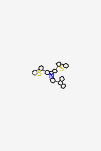 C1=CC2Sc3c(-c4ccc5c(c4)c4cc(-c6cccc7c6sc6ccccc67)ccc4n5-c4cccc(-c5cc6ccccc6c6ccccc56)c4)cccc3C2C=C1